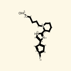 O=COCCCCN1CCCCC1c1nc(-c2ccc(F)cc2)c[nH]1